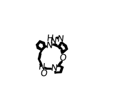 O=C1CN2CC=C/C2=C/Oc2ccc3ncnc(c3c2)Nc2ccccc2/C=C\C=N/1